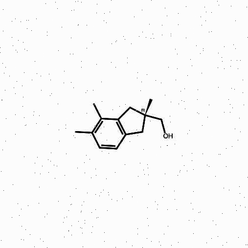 Cc1ccc2c(c1C)C[C@](C)(CO)C2